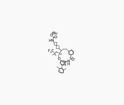 Cc1cccc(C)c1-c1cc2nc(n1)N[S+]([O-])c1cccc(c1)CCC(C1CC3(CC(NC(=O)OC(C)(C)C)C3)C1)[C@H](CC(C)(C)C(F)(F)F)CO2